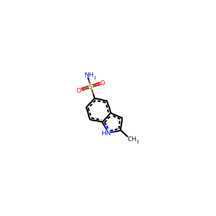 Cc1cc2cc(S(N)(=O)=O)ccc2[nH]1